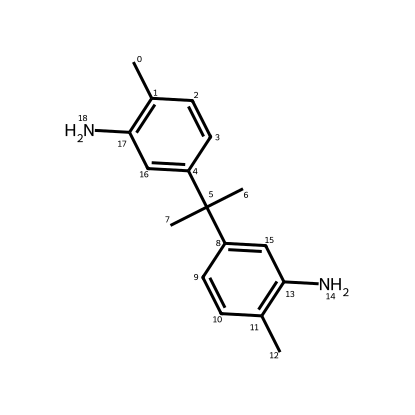 Cc1ccc(C(C)(C)c2ccc(C)c(N)c2)cc1N